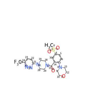 CS(=O)(=O)c1ccc(N2CCOCC2)c(C(=O)N2CCN(c3ccc(C(F)(F)F)nn3)CC2)c1